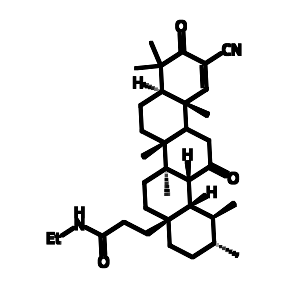 CCNC(=O)CC[C@]12CC[C@@H](C)[C@H](C)[C@H]1[C@H]1C(=O)CC3[C@@]4(C)C=C(C#N)C(=O)C(C)(C)[C@@H]4CC[C@@]3(C)[C@]1(C)CC2